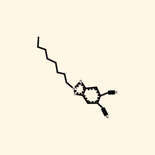 CCCCCCCCn1nc2cc(C#N)c(C#N)cc2n1